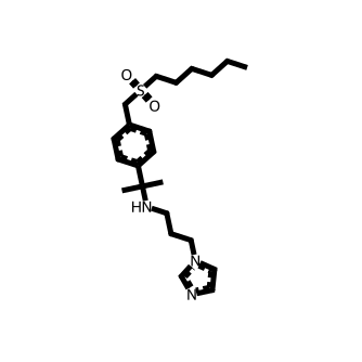 CCCCCCS(=O)(=O)Cc1ccc(C(C)(C)NCCCn2ccnc2)cc1